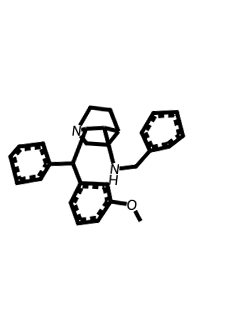 COc1cccc(C(c2ccccc2)C2C(NCc3ccccc3)C3CCN2CC3)c1